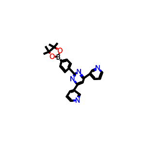 CC1(C)OB(c2ccc(-c3nc(-c4cccnc4)cc(-c4cccnc4)n3)cc2)OC1(C)C